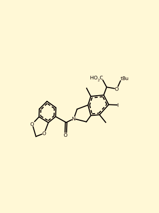 Cc1c(I)c(C(OC(C)(C)C)C(=O)O)c(C)c2c1CN(C(=O)c1cccc3c1OCO3)C2